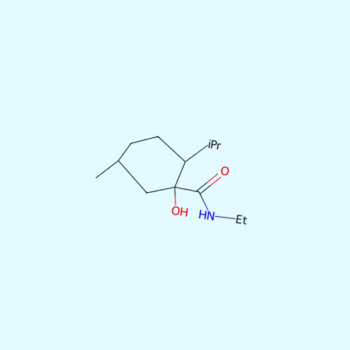 CCNC(=O)C1(O)CC(C)CCC1C(C)C